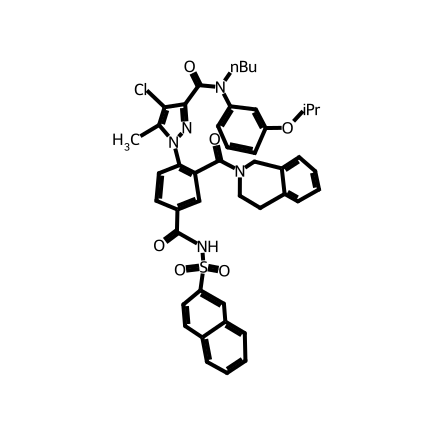 CCCCN(C(=O)c1nn(-c2ccc(C(=O)NS(=O)(=O)c3ccc4ccccc4c3)cc2C(=O)N2CCc3ccccc3C2)c(C)c1Cl)c1cccc(OC(C)C)c1